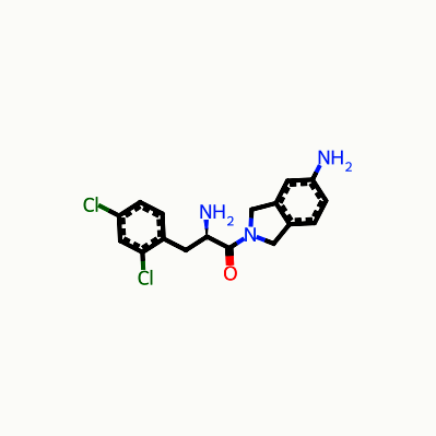 Nc1ccc2c(c1)CN(C(=O)[C@H](N)Cc1ccc(Cl)cc1Cl)C2